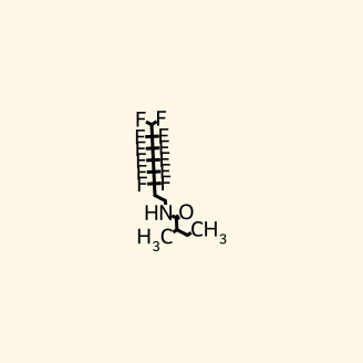 CCC(C)C(=O)NCCC(F)(F)C(F)(F)C(F)(F)C(F)(F)C(F)(F)C(F)F